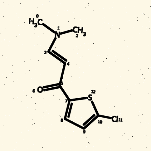 CN(C)C=CC(=O)c1ccc(Cl)s1